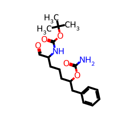 CC(C)(C)OC(=O)NC(C=O)CCCC(Cc1ccccc1)OC(N)=O